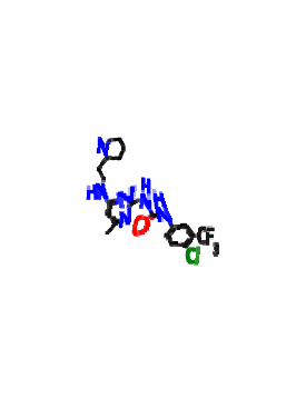 Cc1cc(NCCC2CCCC=N2)nc(NC(=O)Nc2ccc(Cl)c(C(F)(F)F)c2)n1